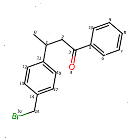 CC(CC(=O)c1ccccc1)c1ccc(CBr)cc1